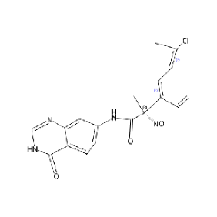 C=C/C(=C\C=C(/C)Cl)[C@@](C)(N=O)C(=O)Nc1ccc2c(=O)[nH]cnc2c1